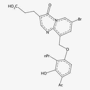 CCCc1c(OCc2cc(Br)cn3c(=O)c(CCC(=O)O)cnc23)ccc(C(C)=O)c1O